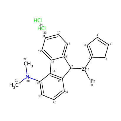 C[CH](C)[Zr]([C]1=CC=CC1)[CH]1c2ccccc2-c2c1cccc2N(C)C.Cl.Cl